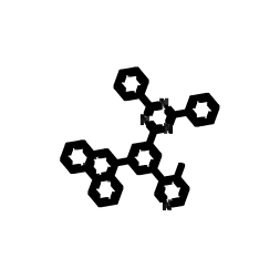 Cc1ccncc1-c1cc(-c2nc(-c3ccccc3)nc(-c3ccccc3)n2)cc(-c2cc3ccccc3c3ccccc23)c1